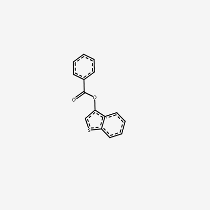 O=C(Oc1csc2ccccc12)c1ccccc1